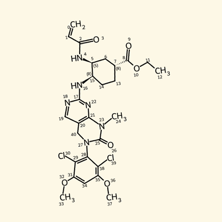 C=CC(=O)N[C@H]1C[C@H](C(=O)OCC)CC[C@H]1Nc1ncc2c(n1)N(C)C(=O)N(c1c(Cl)c(OC)cc(OC)c1Cl)C2